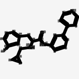 O=C(Nc1cccc(-c2ccncc2)c1)C(Cc1cccc(F)c1)NCC1CC1